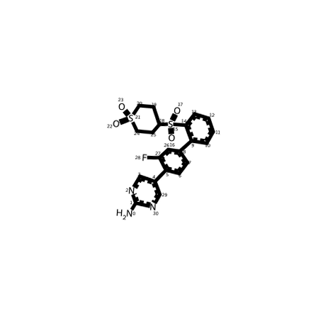 Nc1ncc(-c2ccc(-c3ccccc3S(=O)(=O)C3CCS(=O)(=O)CC3)cc2F)cn1